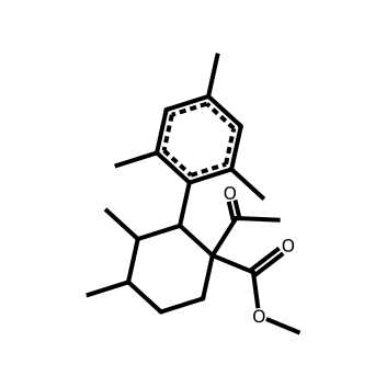 COC(=O)C1(C(C)=O)CCC(C)C(C)C1c1c(C)cc(C)cc1C